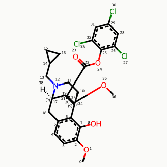 COc1ccc2c(c1O)[C@]13CCN(CC4CC4)[C@H](C2)C1C=C(C(=O)Oc1c(Cl)cc(Cl)cc1Cl)C(OC)C3